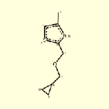 Cc1csc(COCC2CC2)n1